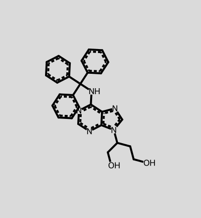 OCCC(CO)n1cnc2c(NC(c3ccccc3)(c3ccccc3)c3ccccc3)ncnc21